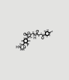 Cc1ccc(C(=O)CCC(=O)NC[C@H]2CN(c3ccc(C4CNCCO4)c(F)c3)C(=O)O2)cc1